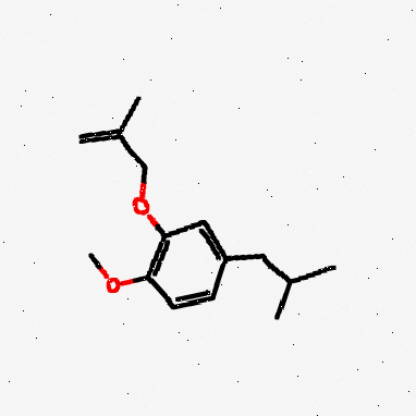 C=C(C)COc1cc(CC(C)C)ccc1OC